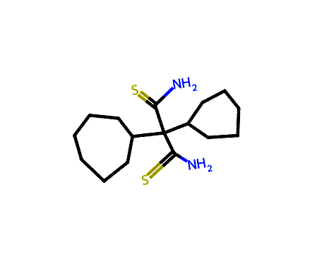 NC(=S)C(C(N)=S)(C1CCCCCC1)C1CCCCC1